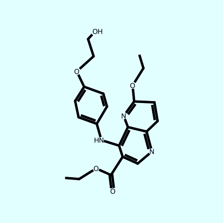 CCOC(=O)c1cnc2ccc(OCC)nc2c1Nc1ccc(OCCO)cc1